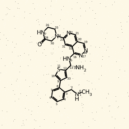 CNCc1ccccc1-c1csc([C@@H](N)Nc2nncc3cnc(N4CCNC(=O)C4)cc23)c1